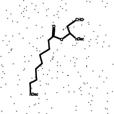 CCCCCCCCCCCCCCCCCC(=O)OC(C[C]=O)CCCCCCCCCC